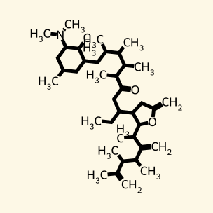 C=C1CC(C(CC)CC(=O)C(C)C(C)C(C)C(C)CC2CC(C)CC(N(C)C)C2C)C(C(C)C(=C)C(C)C(C)C(=C)C)O1